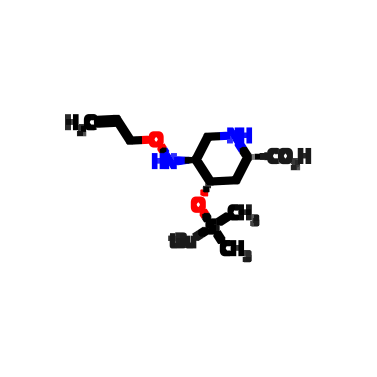 C=CCON[C@H]1CN[C@H](C(=O)O)C[C@@H]1O[Si](C)(C)C(C)(C)C